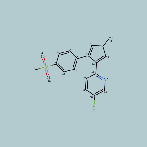 CCC1C=C(c2ccc(S(C)(=O)=O)cc2)C(c2ccc(F)cn2)=C1